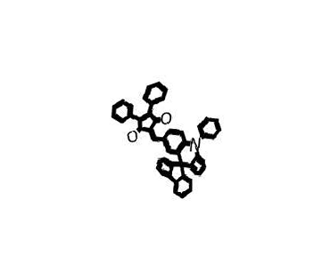 O=C1C(=Cc2ccc3c(c2)C2(c4ccccc4-c4ccccc42)c2ccccc2N3c2ccccc2)C(=O)C(c2ccccc2)=C1c1ccccc1